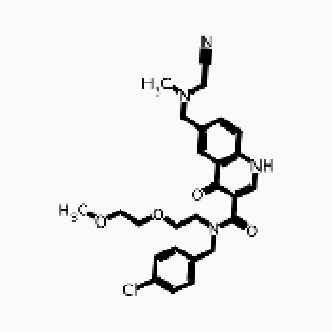 COCCOCCN(Cc1ccc(Cl)cc1)C(=O)c1c[nH]c2ccc(CN(C)CC#N)cc2c1=O